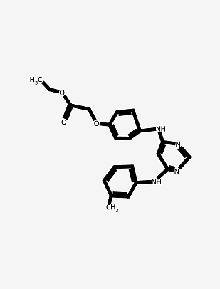 CCOC(=O)COc1ccc(Nc2cc(Nc3cccc(C)c3)ncn2)cc1